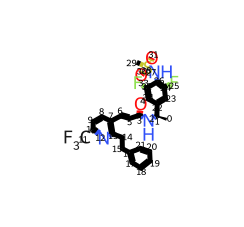 C[C@@H](NC(=O)C=Cc1ccc(C(F)(F)F)nc1CCc1ccccc1)c1cc(F)c(NS(C)(=O)=O)c(F)c1